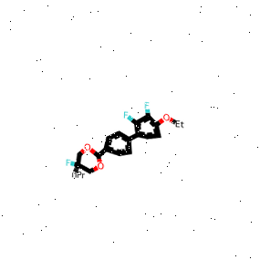 CCCC1(F)COC(c2ccc(-c3ccc(OCC)c(F)c3F)cc2)OC1